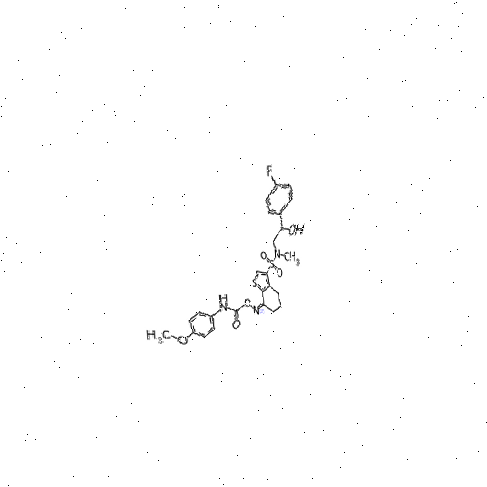 COc1ccc(NC(=O)O/N=C2/CCCc3c(S(=O)(=O)N(C)CC(O)c4ccc(F)cc4)csc32)cc1